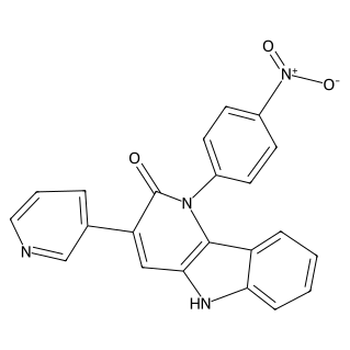 O=c1c(-c2cccnc2)cc2[nH]c3ccccc3c2n1-c1ccc([N+](=O)[O-])cc1